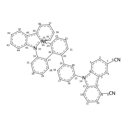 N#Cc1ccc2c(c1)c1c(C#N)cccc1n2-c1cccc(-c2cccc(C#N)c2-c2ccccc2-n2c3ccccc3c3ccccc32)c1